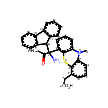 COC(=O)C(N)(c1cccc2c1Sc1c(CC(=O)O)cccc1N2C)C1c2ccccc2-c2ccccc21